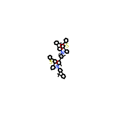 Cc1cc(-c2ccc(N(c3ccc4c(c3)C(C)(C)c3ccccc3-4)c3ccccc3-c3cccc4c3sc3ccccc34)c(C)c2)ccc1N(c1ccc2c(c1)C(C)(C)c1ccccc1-2)c1ccccc1-c1cccc2c1sc1ccccc12